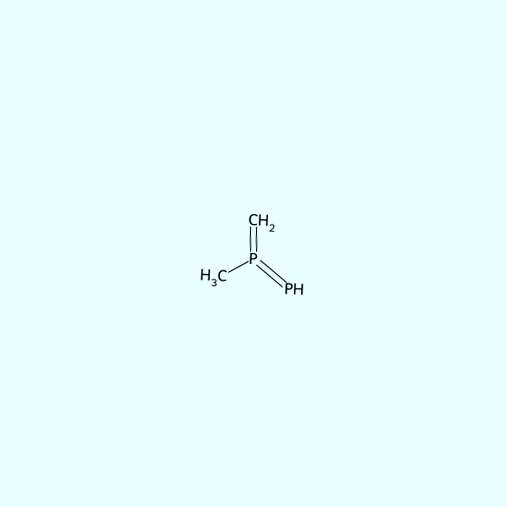 C=P(C)=P